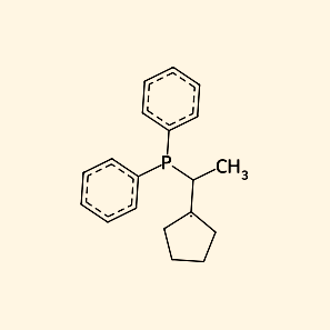 CC([C]1CCCC1)P(c1ccccc1)c1ccccc1